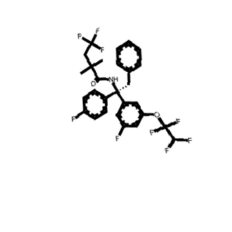 CC(C)(CC(F)(F)F)C(=O)N[C@](Cc1ccccc1)(c1ccc(F)cc1)c1cc(F)cc(OC(F)(F)C(F)F)c1